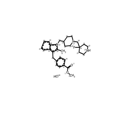 COC(=O)c1ccc(Cc2c(C)n(CC3CCN(CC4(F)CCNCC4)CC3)c3ccccc23)cc1.Cl